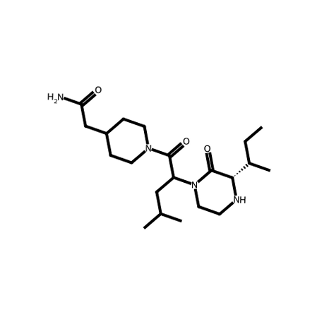 CCC(C)[C@@H]1NCCN(C(CC(C)C)C(=O)N2CCC(CC(N)=O)CC2)C1=O